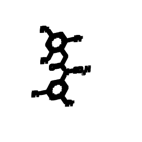 CC(C)c1[c]c(C(C)C)cc(N(C(=O)Cc2c(C(C)C)cc(C(C)C)cc2C(C)C)S(=O)(=O)O)c1